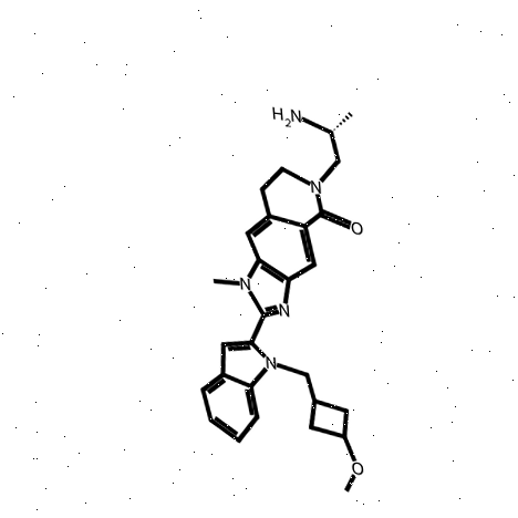 COC1CC(Cn2c(-c3nc4cc5c(cc4n3C)CCN(C[C@@H](C)N)C5=O)cc3ccccc32)C1